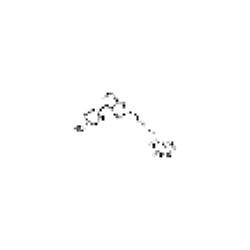 CCCCCOC(C)CCC/C=C/c1ccc2c(-c3ccc(O)cn3)cccc2c1